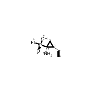 C=C[C@H]1C[C@]1(N)P(=O)(O)CC